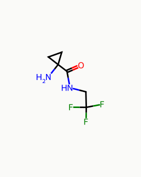 NC1(C(=O)NCC(F)(F)F)CC1